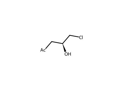 CC(=O)C[C@H](O)CCl